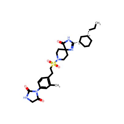 CCC[C@@H]1CCC[C@H](C2=NC3(CCN(S(=O)(=O)CCc4ccc(N5C(=O)CNC5=O)cc4C)CC3)C(=O)N2)C1